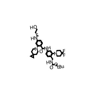 CC(C)(C)OC(=O)NCc1ccc(NC(=O)c2ccc(NSCCO)cc2N2CCC3(CC2)CC3)cc1N1CCC(F)(F)CC1